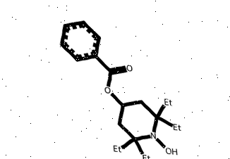 CCC1(CC)CC(OC(=O)c2ccccc2)CC(CC)(CC)N1O